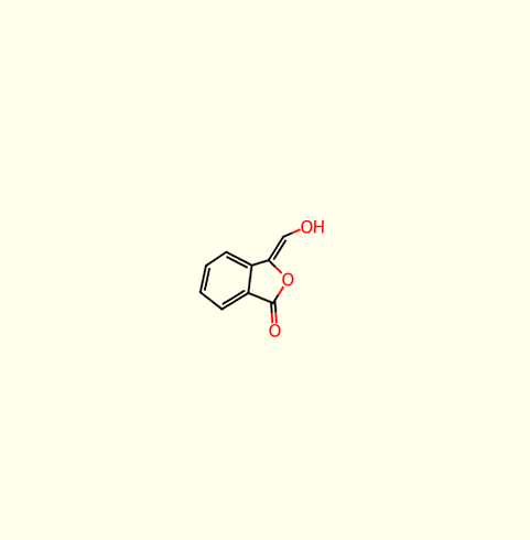 O=C1O/C(=C\O)c2ccccc21